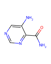 NC(=O)c1ncncc1N